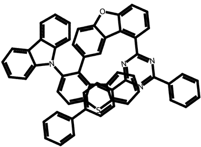 c1ccc(-c2ccc(-c3nc(-c4ccccc4)nc(-c4cccc5oc6ccc(-c7c(-n8c9ccccc9c9ccccc98)ccc8sc9ccccc9c78)cc6c45)n3)cc2)cc1